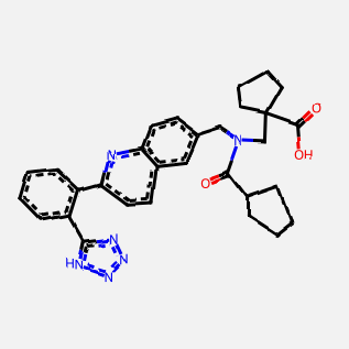 O=C(C1CCCC1)N(Cc1ccc2nc(-c3ccccc3-c3nnn[nH]3)ccc2c1)CC1(C(=O)O)CCCC1